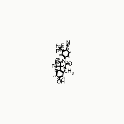 CN1C(=O)N(c2ccc(C#N)c(C(F)(F)F)c2)C(=O)C1(c1ccc(O)cc1)C(F)(F)F